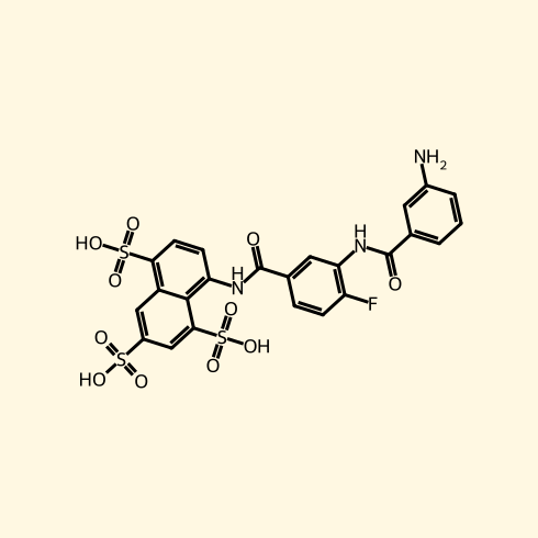 Nc1cccc(C(=O)Nc2cc(C(=O)Nc3ccc(S(=O)(=O)O)c4cc(S(=O)(=O)O)cc(S(=O)(=O)O)c34)ccc2F)c1